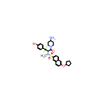 CN([C@H](C(=O)N1CCC(N)CC1)C(F)(F)c1ccc(Br)cc1)S(=O)(=O)c1ccc2cc(OC3CCCC3)ccc2c1